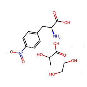 CC(O)C(=O)O.N[C@@H](Cc1ccc([N+](=O)[O-])cc1)C(=O)O.OCCO